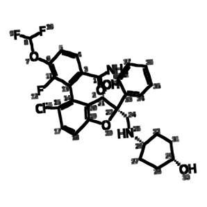 NC(=O)c1ccc(OC(F)F)c(F)c1-c1c(Cl)ccc2c1[C@H](O)[C@@](CN[C@H]1CC[C@@H](O)CC1)(c1ccccc1)O2